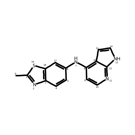 Cc1nc2ccc(Nc3ccnc4[nH]ccc34)cc2s1